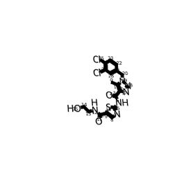 Cc1c(C(=O)Nc2ncc(C(=O)NCCO)s2)nnn1Cc1ccc(Cl)c(Cl)c1